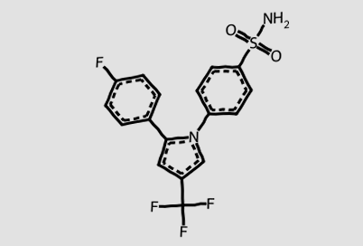 NS(=O)(=O)c1ccc(-n2cc(C(F)(F)F)cc2-c2ccc(F)cc2)cc1